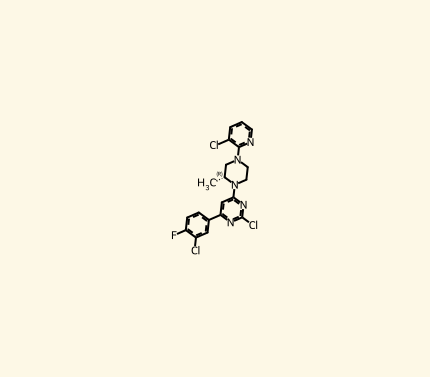 C[C@@H]1CN(c2ncccc2Cl)CCN1c1cc(-c2ccc(F)c(Cl)c2)nc(Cl)n1